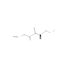 O=C(COP)C(O)C(O)COP